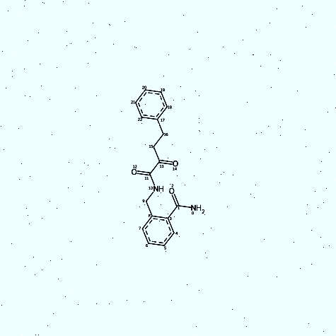 NC(=O)c1ccccc1CNC(=O)C(=O)[CH]Cc1ccccc1